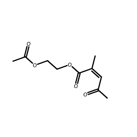 CC(=O)C=C(C)C(=O)OCCOC(C)=O